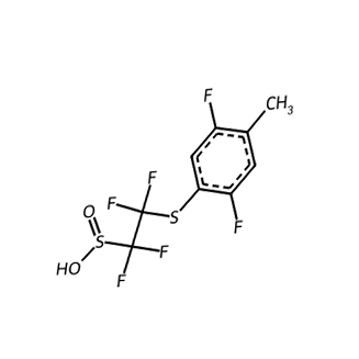 Cc1cc(F)c(SC(F)(F)C(F)(F)S(=O)O)cc1F